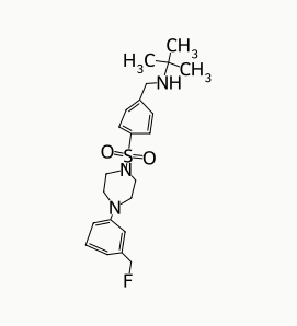 CC(C)(C)NCc1ccc(S(=O)(=O)N2CCN(c3cccc(CF)c3)CC2)cc1